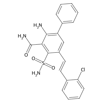 NC(=O)c1c(N)c(-c2ccccc2)cc(/C=C/c2ccccc2Cl)c1S(N)(=O)=O